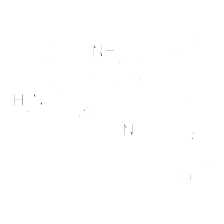 CC1(C)CCc2c(-c3ccoc3)nc3sc(C(N)=O)c(N)c3c2C1